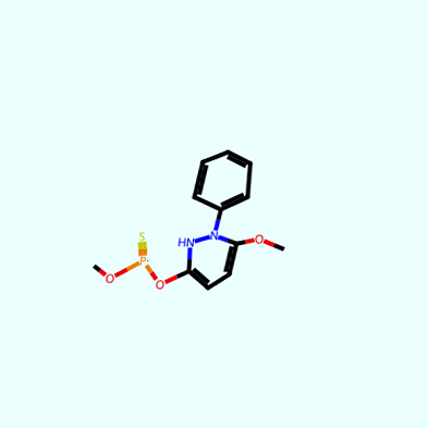 COC1=CC=C(O[P](=S)OC)NN1c1ccccc1